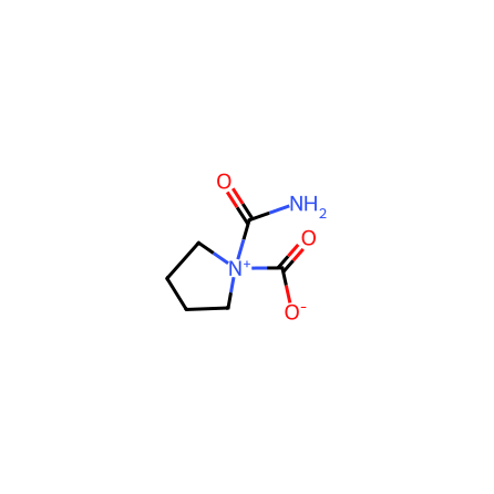 NC(=O)[N+]1(C(=O)[O-])CCCC1